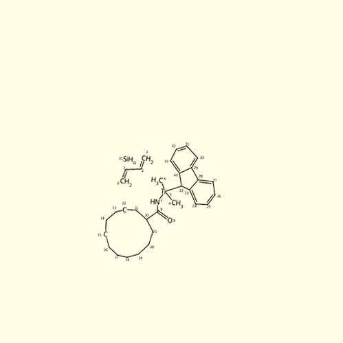 C=CC=C.[CH3][Ti]([CH3])([NH]C(=O)C1CCCCCCCCCCC1)[CH]1c2ccccc2-c2ccccc21.[SiH4]